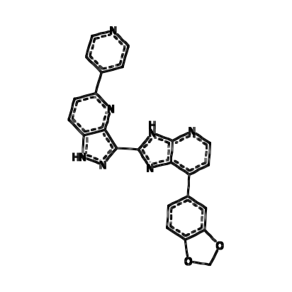 c1cc(-c2ccc3[nH]nc(-c4nc5c(-c6ccc7c(c6)OCO7)ccnc5[nH]4)c3n2)ccn1